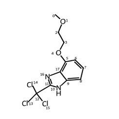 COCCOc1cccc2[nH]c(C(Cl)(Cl)Cl)nc12